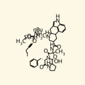 CCCCNC(=O)OC#CCI.CN1C[C@H](C(=O)N[C@]2(C)O[C@@]3(O)[C@@H]4CCCN4C(=O)[C@H](Cc4ccccc4)N3C2=O)CC2c3cccc4[nH]cc(c34)C[C@H]21.CS(=O)(=O)O